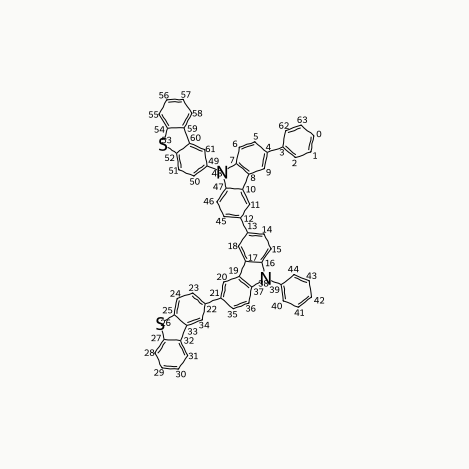 c1ccc(-c2ccc3c(c2)c2cc(-c4ccc5c(c4)c4cc(-c6ccc7sc8ccccc8c7c6)ccc4n5-c4ccccc4)ccc2n3-c2ccc3sc4ccccc4c3c2)cc1